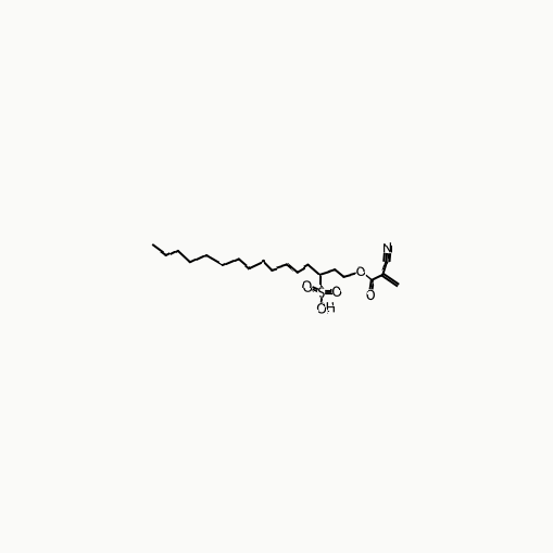 C=C(C#N)C(=O)OCCC(CCCCCCCCCCCCC)S(=O)(=O)O